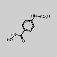 O=C(O)Nc1ccc(C(=O)NO)cc1